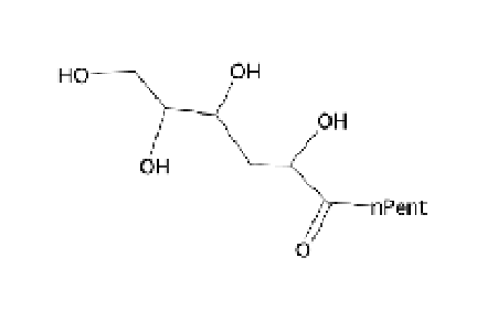 CCCCCC(=O)C(O)CC(O)C(O)CO